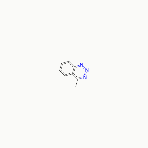 Cc1nnnc2ccccc12